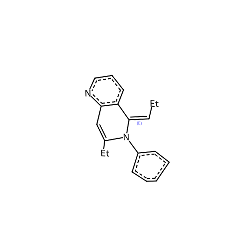 CC/C=C1\c2cccnc2C=C(CC)N1c1ccccc1